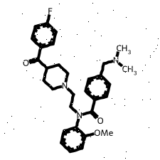 COc1ccccc1N(CCN1CCC(C(=O)c2ccc(F)cc2)CC1)C(=O)c1ccc(CN(C)C)cc1